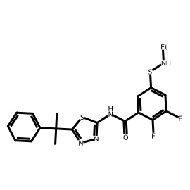 CCNSc1cc(F)c(F)c(C(=O)Nc2nnc(C(C)(C)c3ccccc3)s2)c1